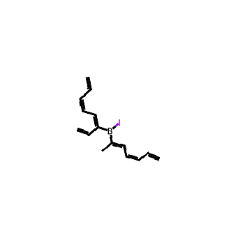 C=C/C=C\C=C(/C)B(I)/C(C=C)=C/C=C\C=C